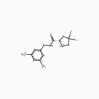 Cc1cc(CNC(=O)[C@@H]2CC(F)(F)CN2)cc(C(F)(F)F)c1